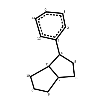 c1ccc(C2CCC3CCCC32)cc1